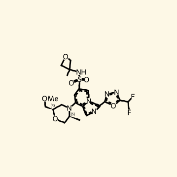 COC[C@H]1CN(c2cc(S(=O)(=O)NC3(C)COC3)cn3c(-c4nnc(C(F)F)o4)ncc23)[C@@H](C)CO1